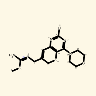 CS/C(N)=N\CC1=Cc2nc(Cl)nc(N3CCOCC3)c2SC1